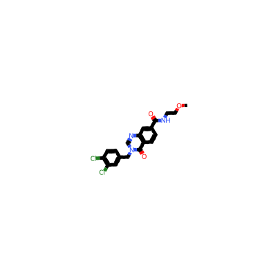 COCCNC(=O)c1ccc2c(=O)n(Cc3ccc(Cl)c(Cl)c3)cnc2c1